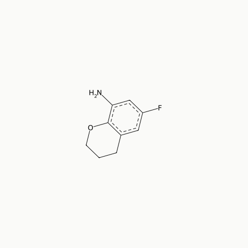 Nc1cc(F)cc2c1OCCC2